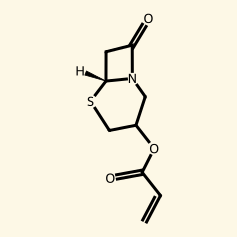 C=CC(=O)OC1CS[C@@H]2CC(=O)N2C1